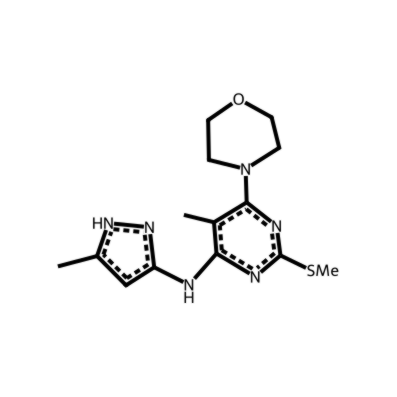 CSc1nc(Nc2cc(C)[nH]n2)c(C)c(N2CCOCC2)n1